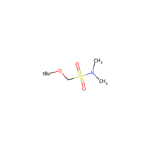 CN(C)S(=O)(=O)COC(C)(C)C